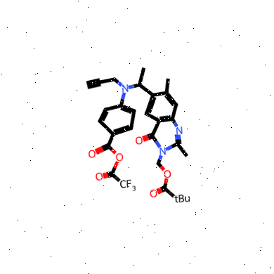 C#CCN(c1ccc(C(=O)OC(=O)C(F)(F)F)cc1)C(C)c1cc2c(=O)n(COC(=O)C(C)(C)C)c(C)nc2cc1C